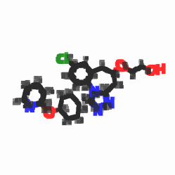 OCCOC1Cc2cc(Cl)ccc2-n2c(nnc2[C@H]2CC[C@H](Oc3ccccn3)CC2)C1